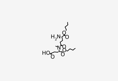 CCCCOC(=O)[C@@H](CCC(=O)O)N(C)C(=O)CC[C@H](N)C(=O)OCCCC